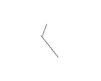 CCCCCCCCCCCCCCCCCCCCCCC(C)CCCCCCCCCC